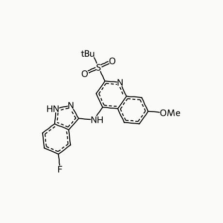 COc1ccc2c(Nc3n[nH]c4ccc(F)cc34)cc(S(=O)(=O)C(C)(C)C)nc2c1